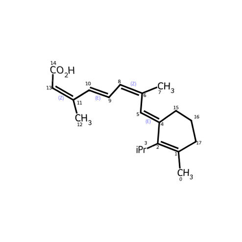 CC1=C(C(C)C)/C(=C/C(C)=C\C=C\C(C)=C/C(=O)O)CCC1